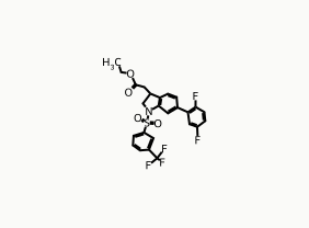 CCOC(=O)CC1CN(S(=O)(=O)c2cccc(C(F)(F)F)c2)c2cc(-c3cc(F)ccc3F)ccc21